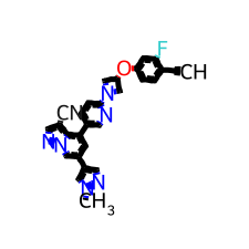 C#Cc1ccc(OC2CN(c3ccc(-c4cc(-c5cnn(C)c5)cn5ncc(C#N)c45)cn3)C2)cc1F